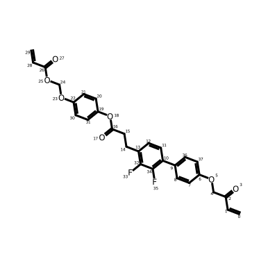 C=CC(=O)COc1ccc(-c2ccc(CCC(=O)Oc3ccc(OCOC(=O)C=C)cc3)c(F)c2F)cc1